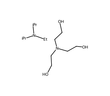 CCN(C(C)C)C(C)C.OCCN(CCO)CCO